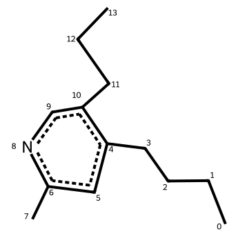 CCCCc1cc(C)ncc1CCC